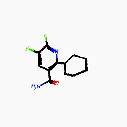 NC(=O)c1cc(F)c(F)nc1C1CCCCC1